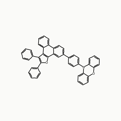 c1ccc(-c2oc3c4cc(-c5ccc(N6c7ccccc7Oc7ccccc76)cc5)ccc4c4ccccc4c3c2-c2ccccc2)cc1